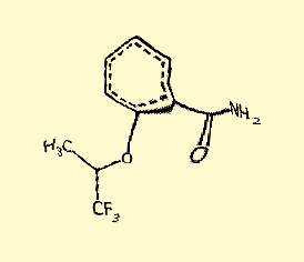 CC(Oc1ccccc1C(N)=O)C(F)(F)F